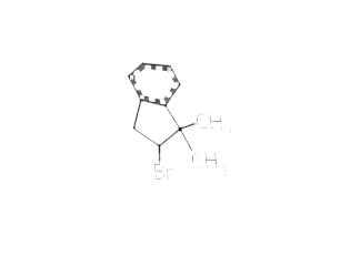 CC1(C)c2ccccc2CC1Br